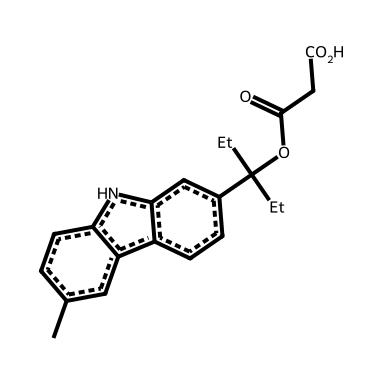 CCC(CC)(OC(=O)CC(=O)O)c1ccc2c(c1)[nH]c1ccc(C)cc12